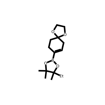 CCC1(C)OB(C2=CCC3(CC2)OCCO3)OC1(C)C